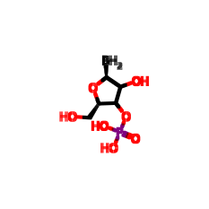 B[C@@H]1O[C@H](CO)C(OP(=O)(O)O)C1O